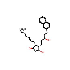 O=C(O)CCCC=CC[C@H]1C(=O)C[C@@H](O)[C@@H]1C=CC(O)CCc1ccc2ccccc2c1